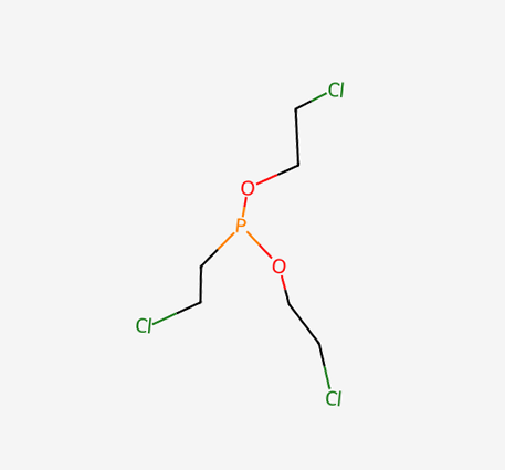 ClCCOP(CCCl)OCCCl